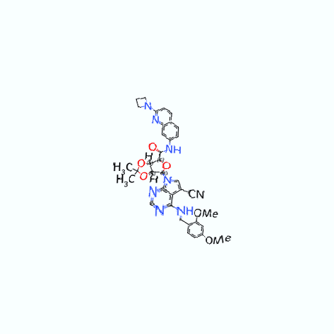 COc1ccc(CNc2ncnc3c2c(C#N)cn3[C@@H]2O[C@H](C(=O)Nc3ccc4ccc(N5CCC5)nc4c3)[C@H]3OC(C)(C)O[C@H]32)c(OC)c1